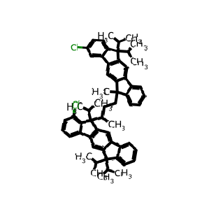 CC(C)C1(C(C)C)c2ccc(Cl)cc2-c2cc3c(cc21)-c1ccccc1C3(C)CCC(C)C1(C(C)C)c2cc3c(cc2-c2cccc(Cl)c21)C(C(C)C)(C(C)C)c1ccccc1-3